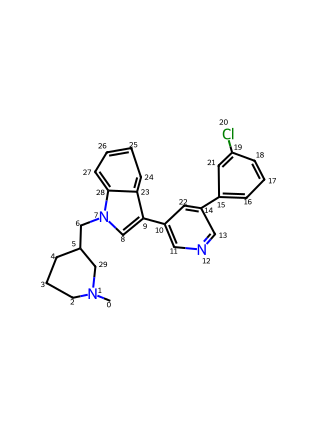 CN1CCCC(Cn2cc(-c3cncc(-c4cccc(Cl)c4)c3)c3ccccc32)C1